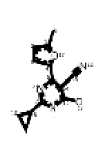 Cc1ccc(-c2nc(C3CC3)nc(Cl)c2C#N)o1